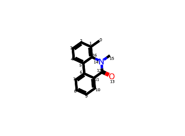 Cc1cccc2c3ccccc3c(=O)n(C)c12